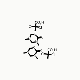 CC(Cl)(Cl)C(=O)O.CC(Cl)(Cl)C(=O)O.CN1CSC(=S)N(C)C1.CN1CSC(=S)N(C)C1